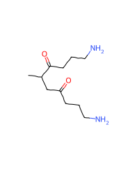 CC(CC(=O)CCCN)C(=O)CCCN